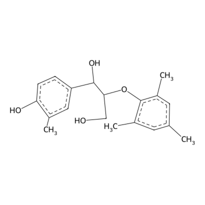 Cc1cc(C)c(OC(CO)C(O)c2ccc(O)c(C)c2)c(C)c1